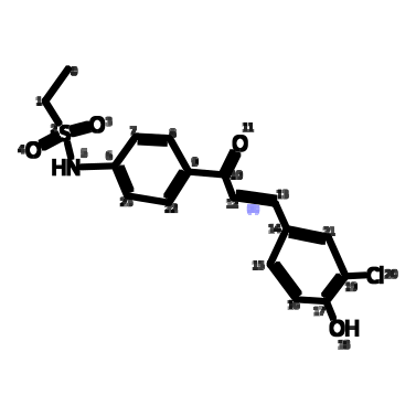 CCS(=O)(=O)Nc1ccc(C(=O)/C=C/c2ccc(O)c(Cl)c2)cc1